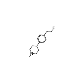 CN1CCC(c2ccc(CCF)cc2)CC1